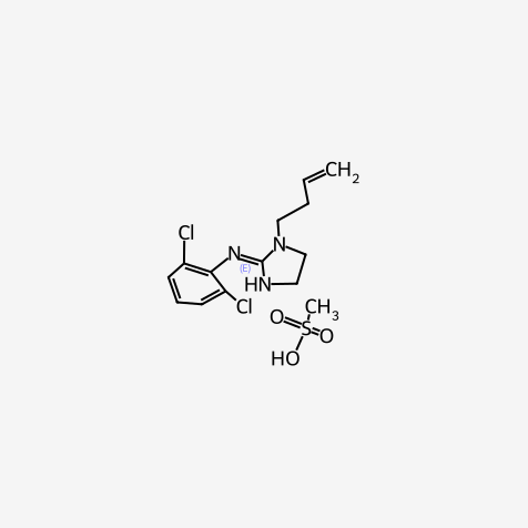 C=CCCN1CCN/C1=N\c1c(Cl)cccc1Cl.CS(=O)(=O)O